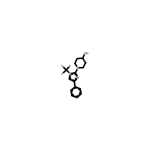 OC1CCN(c2nc(-c3ccccc3)cn2C(F)(F)F)CC1